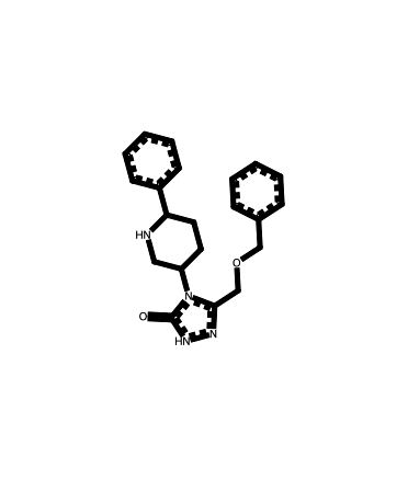 O=c1[nH]nc(COCc2ccccc2)n1C1CCC(c2ccccc2)NC1